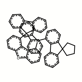 c1ccc(N(c2cccc3c2-c2ccccc2C32CCCC2)c2cccc3oc4cccc(C5(c6ccccc6)c6ccccc6-c6ccccc65)c4c23)cc1